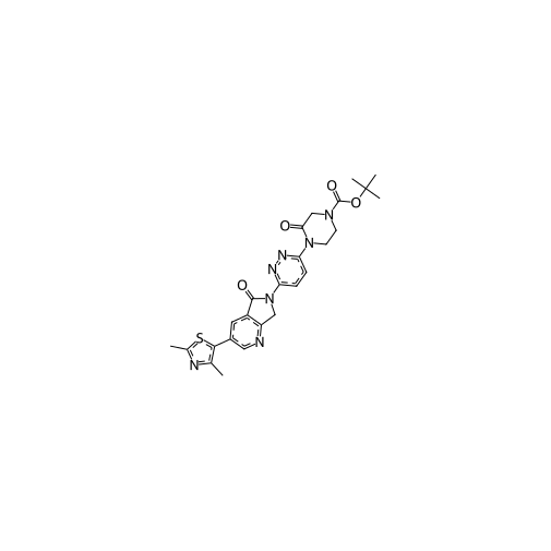 Cc1nc(C)c(-c2cnc3c(c2)C(=O)N(c2ccc(N4CCN(C(=O)OC(C)(C)C)CC4=O)nn2)C3)s1